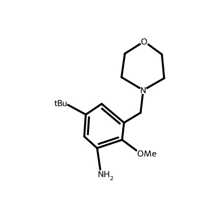 COc1c(N)cc(C(C)(C)C)cc1CN1CCOCC1